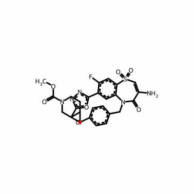 COC(=O)N1CCC2CC2(c2nnc(-c3cc4c(cc3F)S(=O)(=O)C=C(N)C(=O)N4Cc3ccc(Cl)cc3)o2)C1